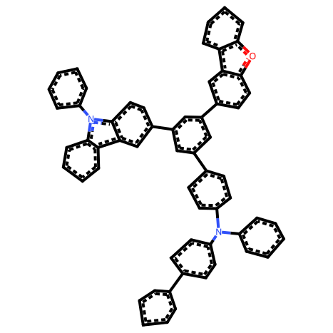 c1ccc(-c2ccc(N(c3ccccc3)c3ccc(-c4cc(-c5ccc6oc7ccccc7c6c5)cc(-c5ccc6c(c5)c5ccccc5n6-c5ccccc5)c4)cc3)cc2)cc1